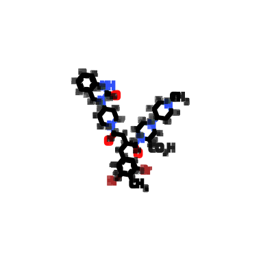 Cc1c(Br)cc(CC(CC(=O)N2CCC(N3Cc4ccccc4NC3=O)CC2)C(=O)N2CCN(C3CCN(C)CC3)CC2C(=O)O)cc1Br